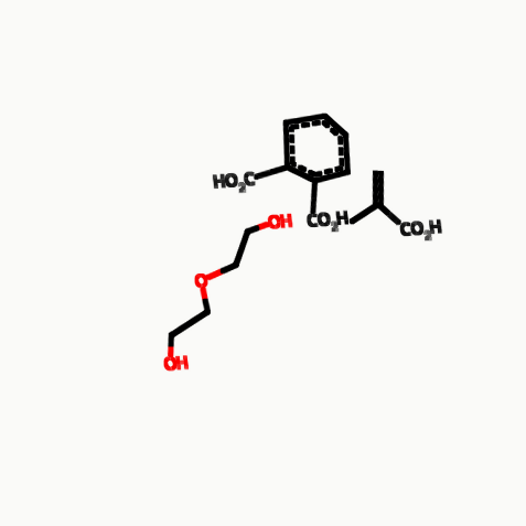 C=C(C)C(=O)O.O=C(O)c1ccccc1C(=O)O.OCCOCCO